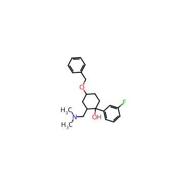 CN(C)CC1CC(OCc2ccccc2)CCC1(O)c1cccc(F)c1